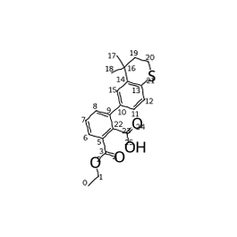 CCOC(=O)c1cccc(-c2ccc3c(c2)C(C)(C)CCS3)c1C(=O)O